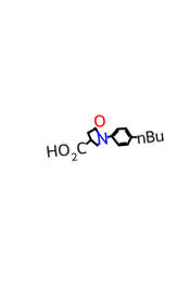 CCCCc1ccc(N2CC(C(=O)O)CC2=O)cc1